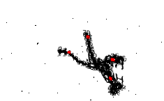 CCCCCCCCCCCCCCOCC(CNC(=O)C(CCCN(O)C(=N)NSc1ccc(C)cc1)NC(=O)OCC1c2ccccc2-c2ccccc21)OCCCCCCCCCCCCCC